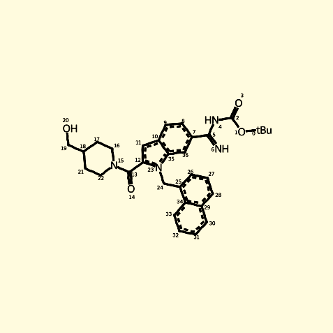 CC(C)(C)OC(=O)NC(=N)c1ccc2cc(C(=O)N3CCC(CO)CC3)n(Cc3cccc4ccccc34)c2c1